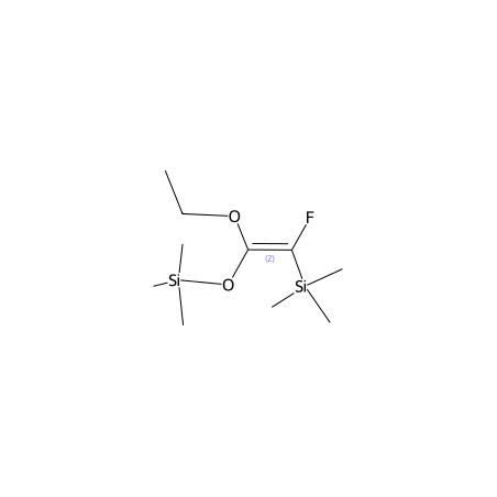 CCO/C(O[Si](C)(C)C)=C(\F)[Si](C)(C)C